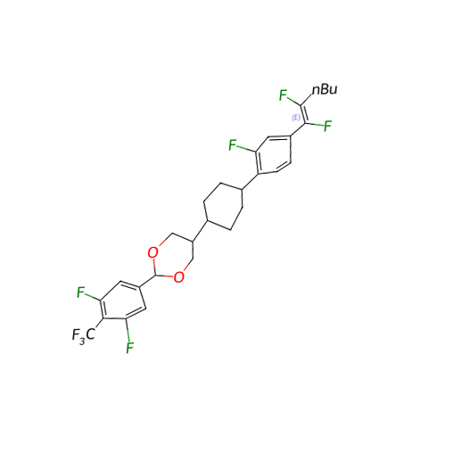 CCCC/C(F)=C(\F)c1ccc(C2CCC(C3COC(c4cc(F)c(C(F)(F)F)c(F)c4)OC3)CC2)c(F)c1